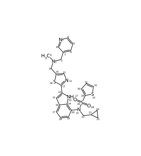 CN(Cc1cccnc1)Cc1cnc(-c2cc3cccc(N(CC4CC4)S(=O)(=O)c4cccs4)c3[nH]2)s1